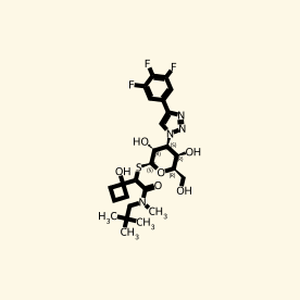 CN(CC(C)(C)C)C(=O)C(S[C@@H]1O[C@H](CO)[C@H](O)[C@H](n2cc(-c3cc(F)c(F)c(F)c3)nn2)[C@H]1O)C1(O)CCC1